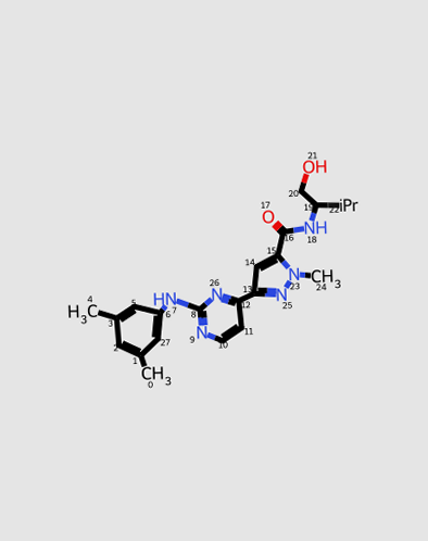 Cc1cc(C)cc(Nc2nccc(-c3cc(C(=O)NC(CO)C(C)C)n(C)n3)n2)c1